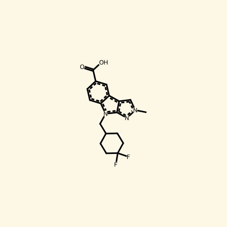 Cn1cc2c3cc(C(=O)O)ccc3n(CC3CCC(F)(F)CC3)c2n1